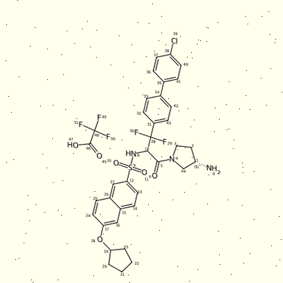 N[C@H]1CCN(C(=O)C(NS(=O)(=O)c2ccc3cc(OC4CCCC4)ccc3c2)C(F)(F)c2ccc(-c3ccc(Cl)cc3)cc2)C1.O=C(O)C(F)(F)F